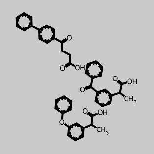 CC(C(=O)O)c1cccc(C(=O)c2ccccc2)c1.CC(C(=O)O)c1cccc(Oc2ccccc2)c1.O=C(O)CCC(=O)c1ccc(-c2ccccc2)cc1